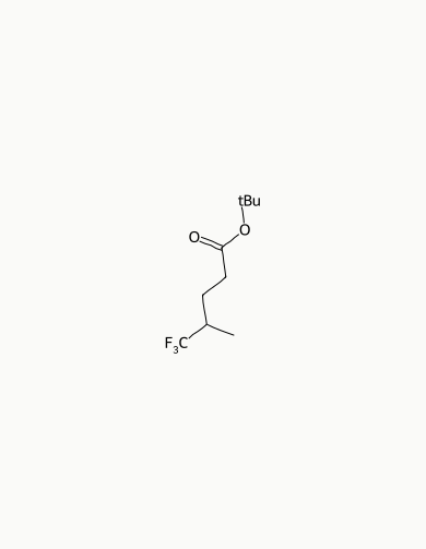 CC(CCC(=O)OC(C)(C)C)C(F)(F)F